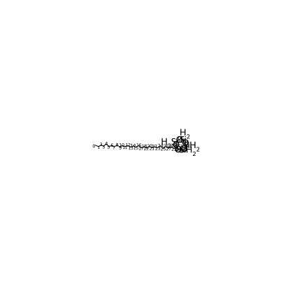 CCCCCCCCCCCCCCCCCCCCCCCCCCCCCC[SiH]1O[SiH2]O[SiH2]O[SiH2]O[SiH2]O1